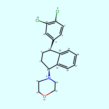 Clc1ccc([C@@H]2CC[C@H](N3CCOCC3)c3ccccc32)cc1Cl